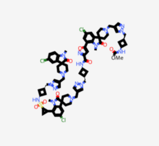 COC(=O)N[C@H]1C[C@@H](Cn2cc(CN3CCC4(CC3)C(=O)N(C)c3c(-c5cc(C(=O)N[C@H]6C[C@@H](Cn7cc(CN8CCC9(CC8)C(=O)N(C)c8c(C%10CC%10S(=O)(=O)N[C@H]%10C[C@@H](Cn%11cc(CN%12CCC%13(CC%12)C(=O)N(C)c%12ccc(Cl)cc%12%13)cn%11)C%10)cc(Cl)cc89)cn7)C6)no5)cc(Cl)cc34)cn2)C1